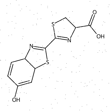 O=C(O)C1CSC(C2=NC3C=CC(O)=CC3S2)=N1